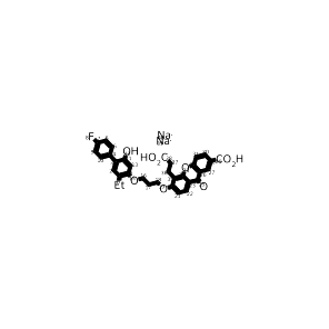 CCc1cc(-c2ccc(F)cc2)c(O)cc1OCCCOc1ccc2c(=O)c3cc(C(=O)O)ccc3oc2c1CCC(=O)O.[Na].[Na]